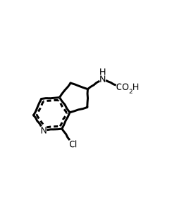 O=C(O)NC1Cc2ccnc(Cl)c2C1